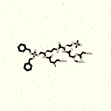 CCCCCCCCCCCC(=O)O[C@H](CCCCCCCCCCC)CC(=O)N[C@@H](CCOP(C)(C)=O)C(=O)NCCC[C@H](COP(=O)(OCc1ccccc1)OCc1ccccc1)NC(=O)C[C@H](C)CCCCCCCCCCC